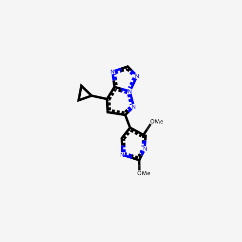 COc1ncc(-c2cc(C3CC3)c3ncnn3n2)c(OC)n1